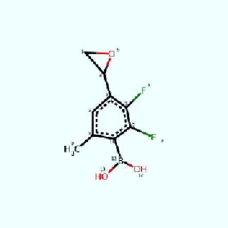 Cc1cc(C2CO2)c(F)c(F)c1B(O)O